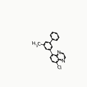 Cc1cc(-c2ccccc2)cc(-c2ccc(Cl)c3nccnc23)c1